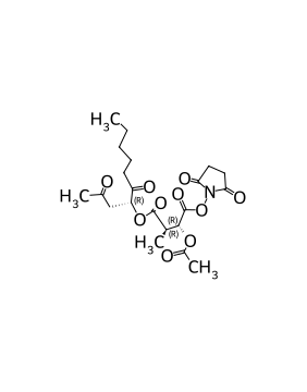 CCCCCC(=O)[C@@H](CC(C)=O)OC(=O)[C@H](C)[C@@H](OC(C)=O)C(=O)ON1C(=O)CCC1=O